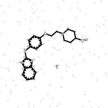 O=C([O-])C1CCN(CCOc2ccc(Oc3nc4ccccc4s3)cc2)CC1.[K+]